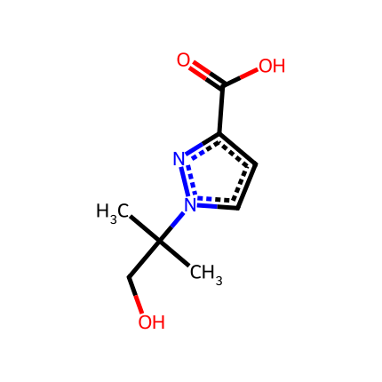 CC(C)(CO)n1ccc(C(=O)O)n1